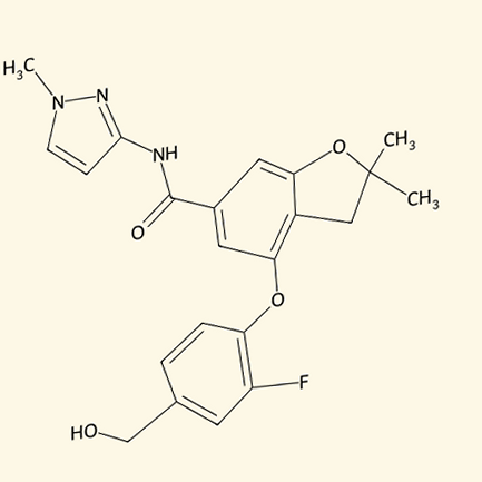 Cn1ccc(NC(=O)c2cc(Oc3ccc(CO)cc3F)c3c(c2)OC(C)(C)C3)n1